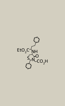 CCOC(=O)C(CCc1ccccc1)NC1CSC(c2ccccc2)N(CC(=O)O)C1=O